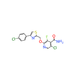 NC(=O)c1c(Cl)cnc(OCc2nc(-c3ccc(Cl)cc3)cs2)c1F